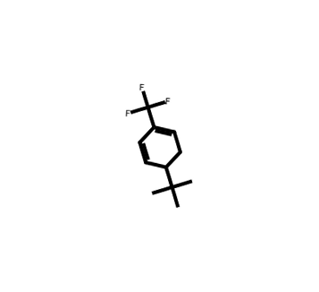 CC(C)(C)C1C=CC(C(F)(F)F)=CC1